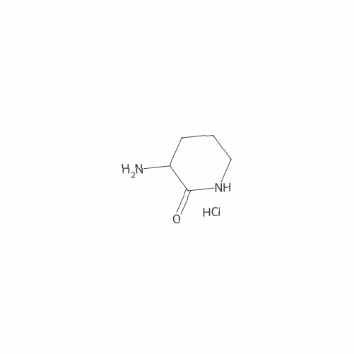 Cl.NC1CCCNC1=O